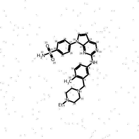 CCN1CCN(Cc2cc(Nc3ncc4ccn(-c5ccc(S(N)(=O)=O)cc5)c4n3)ccc2C)CC1